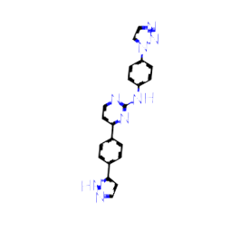 c1cn(-c2ccc(Nc3nccc(-c4ccc(-c5ccn[nH]5)cc4)n3)cc2)nn1